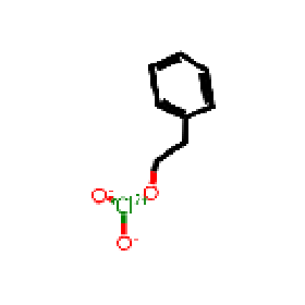 [O-][Cl+2]([O-])OCCc1ccccc1